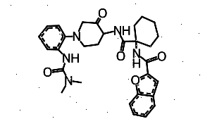 CN(C)C(=O)Nc1ccccc1N1CCC(NC(=O)C2(NC(=O)c3cc4ccccc4o3)CCCCC2)C(=O)C1